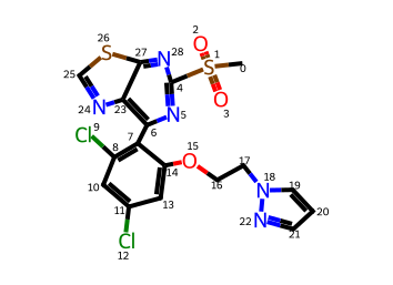 CS(=O)(=O)c1nc(-c2c(Cl)cc(Cl)cc2OCCn2cccn2)c2ncsc2n1